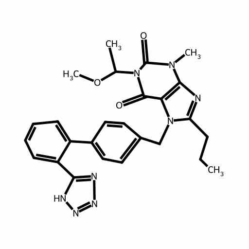 CCCc1nc2c(c(=O)n(C(C)OC)c(=O)n2C)n1Cc1ccc(-c2ccccc2-c2nnn[nH]2)cc1